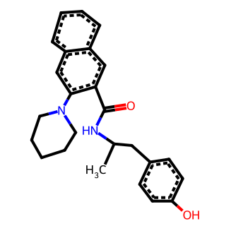 CC(Cc1ccc(O)cc1)NC(=O)c1cc2ccccc2cc1N1CCCCC1